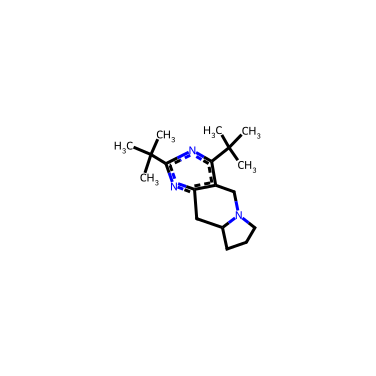 CC(C)(C)c1nc2c(c(C(C)(C)C)n1)CN1CCCC1C2